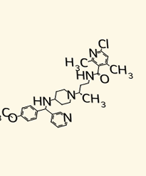 COc1ccc(C(NC2CCN([C@H](C)CCNC(=O)c3c(C)cc(Cl)nc3C)CC2)c2cccnc2)cc1